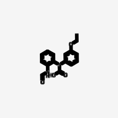 CCOc1cccc(N(C(=O)O)c2ccccc2NC=O)c1